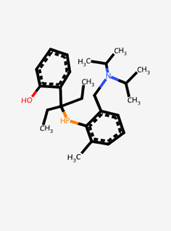 CCC(CC)(Pc1c(C)cccc1CN(C(C)C)C(C)C)c1ccccc1O